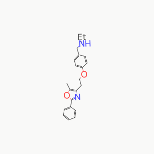 CCNCc1ccc(OCCc2nc(-c3ccccc3)oc2C)cc1